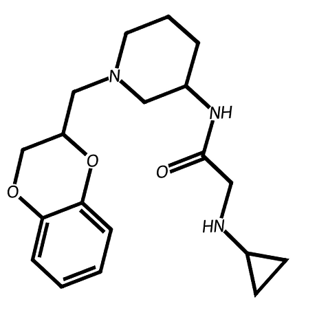 O=C(CNC1CC1)NC1CCCN(CC2COc3ccccc3O2)C1